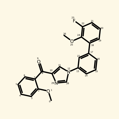 COc1ccccc1C(=O)c1cn(-c2cccc(-c3cccc(F)c3OC)c2)cn1